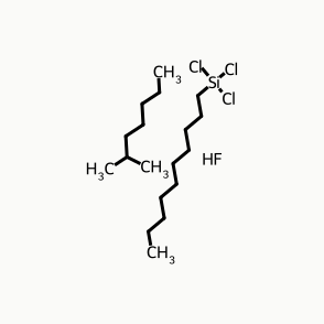 CCCCCC(C)C.CCCCCCCCCC[Si](Cl)(Cl)Cl.F